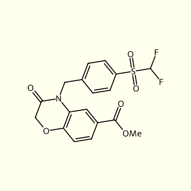 COC(=O)c1ccc2c(c1)N(Cc1ccc(S(=O)(=O)C(F)F)cc1)C(=O)CO2